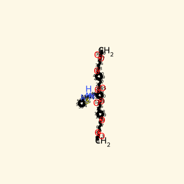 C=CC(=O)OCCCCOc1ccc(CCC(=O)Oc2ccc(OC(=O)CCc3ccc(OCCCCOC(=O)C=C)cc3)c(/C=N/Nc3nc4ccccc4s3)c2)cc1